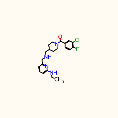 CCNc1cccc(CNCC2CCN(C(=O)c3ccc(F)c(Cl)c3)CC2)n1